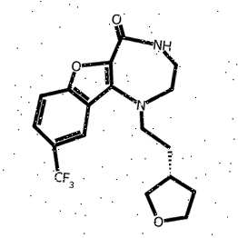 O=C1NCCN(CC[C@@H]2CCOC2)c2c1oc1ccc(C(F)(F)F)cc21